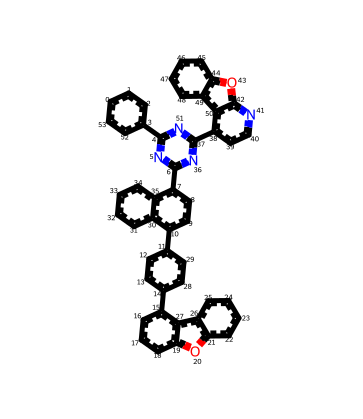 c1ccc(-c2nc(-c3ccc(-c4ccc(-c5cccc6oc7ccccc7c56)cc4)c4ccccc34)nc(-c3ccnc4oc5ccccc5c34)n2)cc1